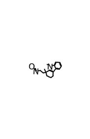 Cn1c2c(c3ccccc31)CCCC2(C)CCN=C=O